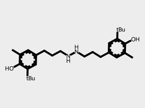 Cc1cc(CCCNNCCCc2cc(C)c(O)c(C(C)(C)C)c2)cc(C(C)(C)C)c1O